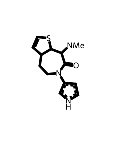 CNC1C(=O)N(c2cc[nH]c2)CCC2C=CSC21